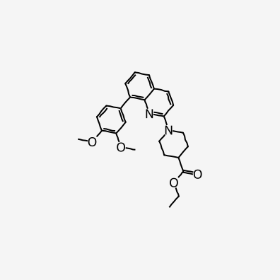 CCOC(=O)C1CCN(c2ccc3cccc(-c4ccc(OC)c(OC)c4)c3n2)CC1